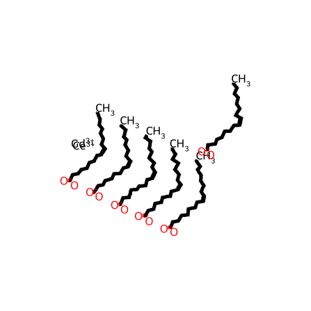 CCCCCCCC/C=C\CCCCCCCC(=O)[O-].CCCCCCCC/C=C\CCCCCCCC(=O)[O-].CCCCCCCC/C=C\CCCCCCCC(=O)[O-].CCCCCCCC/C=C\CCCCCCCC(=O)[O-].CCCCCCCC/C=C\CCCCCCCC(=O)[O-].CCCCCCCC/C=C\CCCCCCCC(=O)[O-].[Ce+3].[Gd+3]